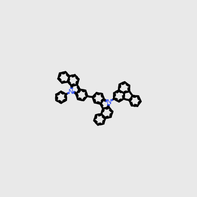 c1ccc(-n2c3ccc(-c4ccc5c(c4)c4c6ccccc6ccc4n5-c4cc5c6c(cccc6c4)-c4ccccc4-5)cc3c3ccc4ccccc4c32)cc1